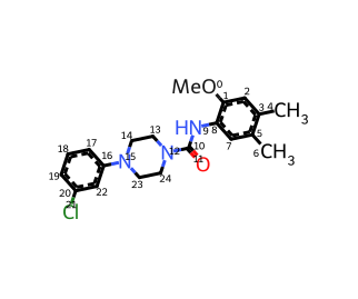 COc1cc(C)c(C)cc1NC(=O)N1CCN(c2cccc(Cl)c2)CC1